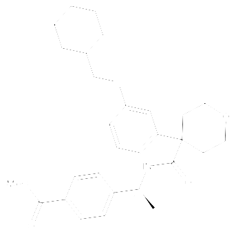 COC(=O)c1ccc([C@H](C)NC(=O)C2(c3cccc(OCC4CCCCC4)c3)CCOCC2)cc1